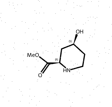 COC(=O)[C@H]1C[C@@H](O)CCN1